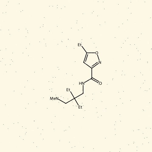 CCc1cc(C(=O)NCC(CC)(CC)CNC)no1